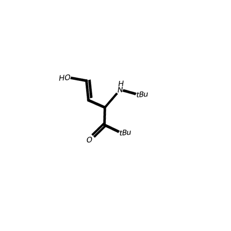 CC(C)(C)NC(/C=C/O)C(=O)C(C)(C)C